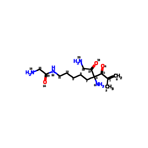 C=C(C)C(=O)C(N)(CCCCCNC(=O)CN)C(=O)CN